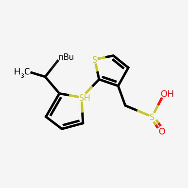 CCCCC(C)C1=CC=C[SH]1c1sccc1CS(=O)O